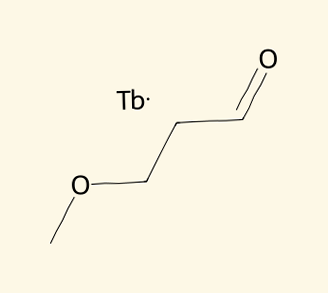 COCCC=O.[Tb]